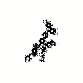 CN(C)CCOCC(C)(C)C1CN(c2cc(N3CCN(CC4=C(c5ccc(Cl)cc5)CC(C)(C)CC4)CC3)ccc2C(=O)NS(=O)(=O)c2ccc(NCC3CCOCC3)c([N+](=O)[O-])c2)c2cc3cc[nH]c3nc2O1